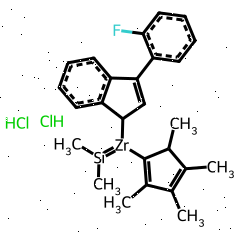 CC1=C(C)C(C)[C]([Zr]([CH]2C=C(c3ccccc3F)c3ccccc32)=[Si](C)C)=C1C.Cl.Cl